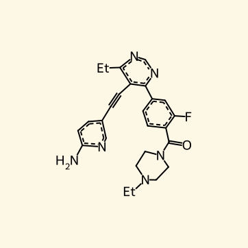 CCc1ncnc(-c2ccc(C(=O)N3CCN(CC)CC3)c(F)c2)c1C#Cc1ccc(N)nc1